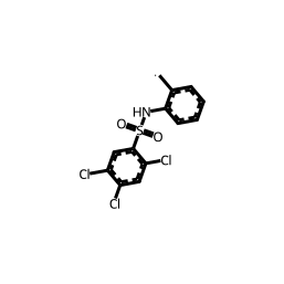 [CH2]c1ccccc1NS(=O)(=O)c1cc(Cl)c(Cl)cc1Cl